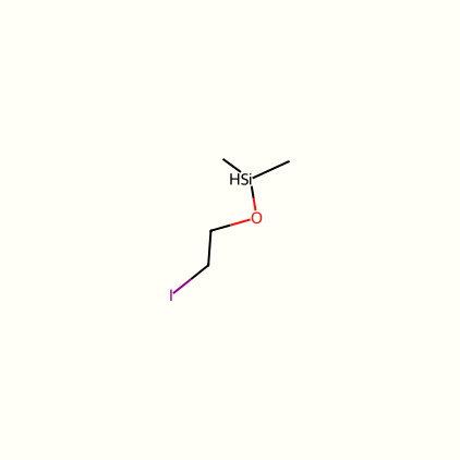 C[SiH](C)OCCI